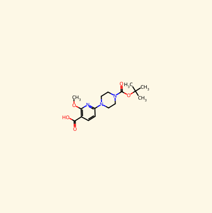 COc1nc(N2CCN(C(=O)OC(C)(C)C)CC2)ccc1C(=O)O